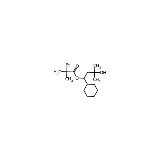 CCC(C)(C)C(=O)OC(CC(C)(C)O)C1CCCCC1